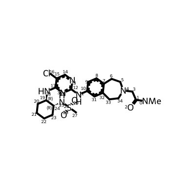 CNC(=O)CN1CCc2ccc(Nc3ncc(Cl)c(N[C@@H]4CCCC[C@H]4NS(C)(=O)=O)n3)cc2CC1